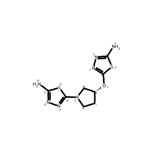 Nc1nnc(O[C@@H]2CCN(c3nnc(N)s3)C2)s1